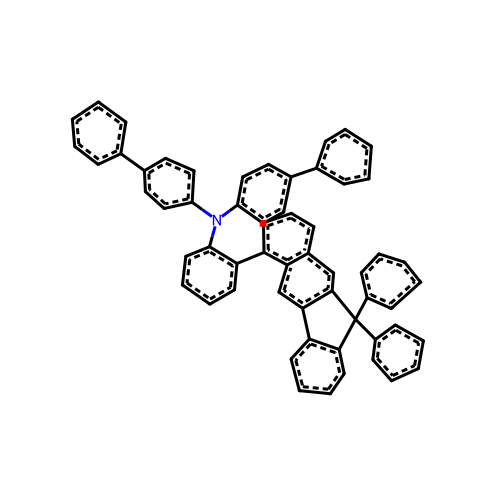 c1ccc(-c2ccc(N(c3ccc(-c4ccccc4)cc3)c3ccccc3-c3cccc4cc5c(cc34)-c3ccccc3C5(c3ccccc3)c3ccccc3)cc2)cc1